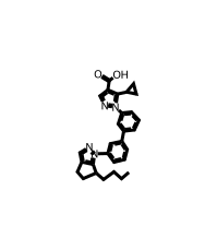 CCCCC1CCc2cnn(-c3cccc(-c4cccc(-n5ncc(C(=O)O)c5C5CC5)c4)c3)c21